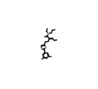 CC/C=C(\CCc1csc(-c2cc(F)cc(F)c2)n1)C(=O)N(CC)CCC